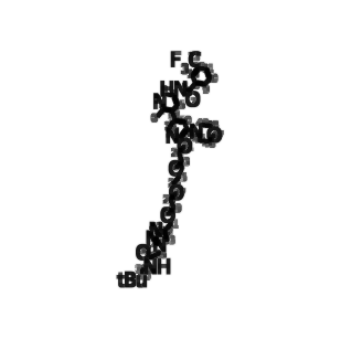 Cc1ncc(NC(=O)c2cccc(C(F)(F)F)c2)cc1-c1cnc(OCCOCCOCCOCc2cn(CC(=O)NCC(C)(C)C)nn2)c(N2CCOCC2)c1